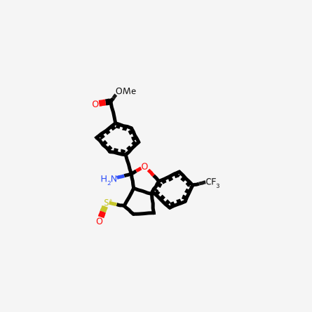 COC(=O)c1ccc(C(N)(Oc2cccc(C(F)(F)F)c2)C2CCCC2[S+]=O)cc1